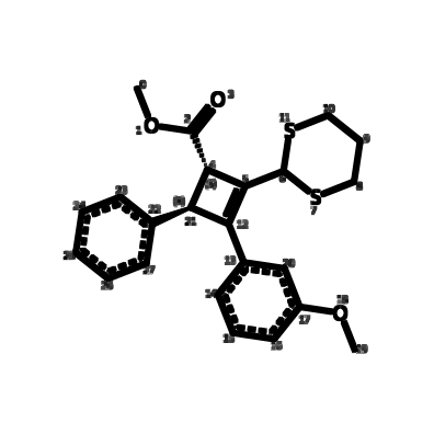 COC(=O)[C@@H]1C(C2SCCCS2)=C(c2cccc(OC)c2)[C@H]1c1ccccc1